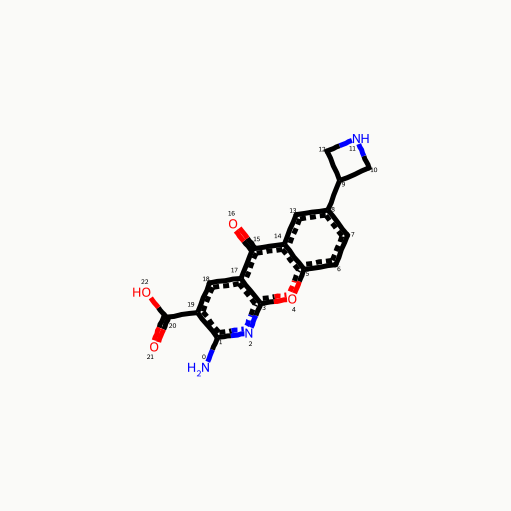 Nc1nc2oc3ccc(C4CNC4)cc3c(=O)c2cc1C(=O)O